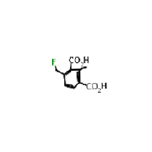 Cc1c(C(=O)O)ccc(CF)c1C(=O)O